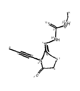 CC#CN1C(=O)CSC1=NNC(=S)NC